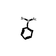 CC(=O)N(Br)c1ccccc1